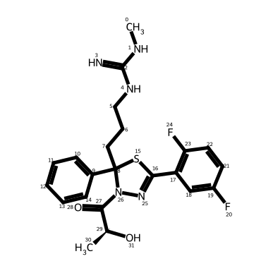 CNC(=N)NCCCC1(c2ccccc2)SC(c2cc(F)ccc2F)=NN1C(=O)[C@H](C)O